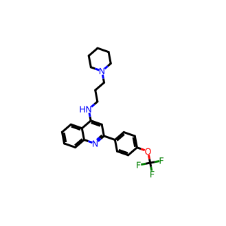 FC(F)(F)Oc1ccc(-c2cc(NCCCN3CCCCC3)c3ccccc3n2)cc1